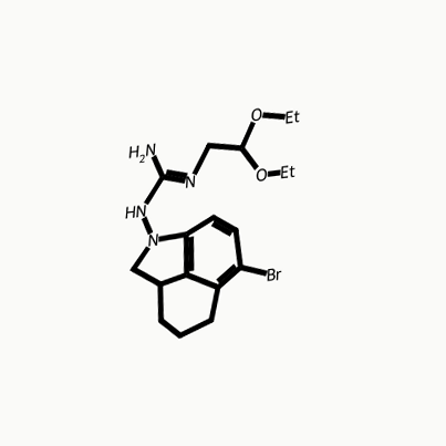 CCOC(CN=C(N)NN1CC2CCCc3c(Br)ccc1c32)OCC